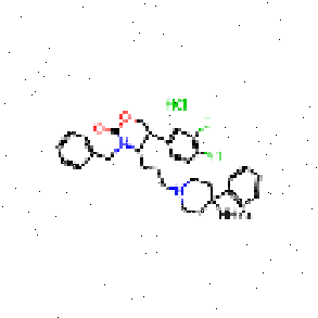 CC(=O)NC1(c2ccccc2)CCN(CCCC2C(c3ccc(Cl)c(Cl)c3)COC(=O)N2Cc2ccccc2)CC1.Cl